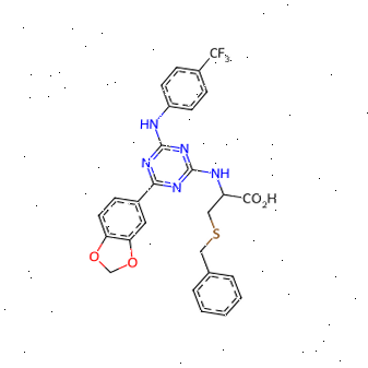 O=C(O)C(CSCc1ccccc1)Nc1nc(Nc2ccc(C(F)(F)F)cc2)nc(-c2ccc3c(c2)OCO3)n1